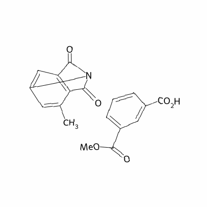 COC(=O)c1cccc(C(=O)O)c1.Cc1cc2cc3c1c(=O)n2C3=O